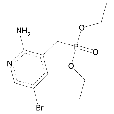 CCOP(=O)(Cc1cc(Br)cnc1N)OCC